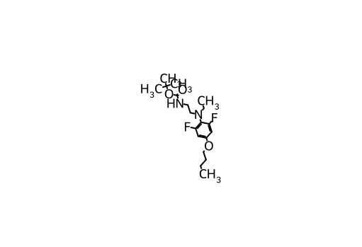 CCCCOc1cc(F)c(N(CC)CCNC(=O)OC(C)(C)C)c(F)c1